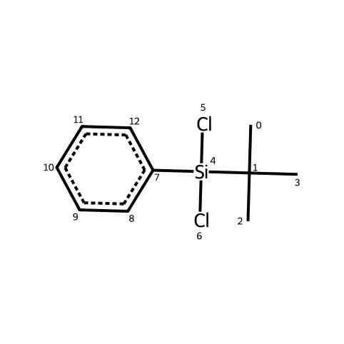 CC(C)(C)[Si](Cl)(Cl)c1ccccc1